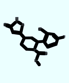 COC(=O)N1CCC(c2cc(=O)[nH]o2)CC1c1ccc(F)cc1Cl